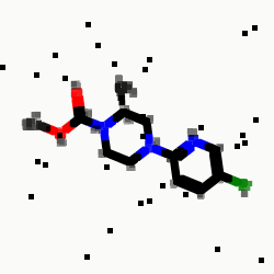 C[C@@H]1CN(c2ccc(Br)cn2)CCN1C(=O)OC(C)(C)C